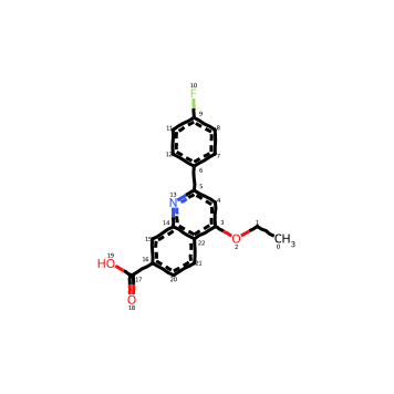 CCOc1cc(-c2ccc(F)cc2)nc2cc(C(=O)O)ccc12